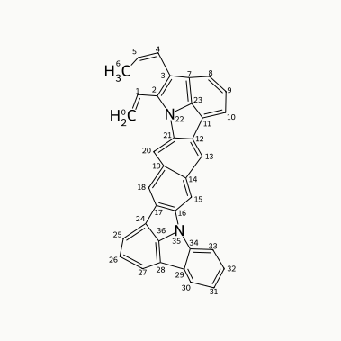 C=Cc1c(/C=C\C)c2cccc3c4cc5cc6c(cc5cc4n1c23)c1cccc2c3ccccc3n6c21